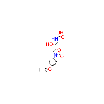 COc1ccc(N2C[C@H](C(O)CNC(=O)O)OC2=O)cc1